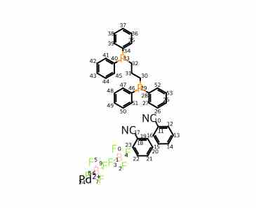 F[B-](F)(F)F.F[B-](F)(F)F.N#Cc1ccccc1.N#Cc1ccccc1.[Pd+2].c1ccc(P(CCCP(c2ccccc2)c2ccccc2)c2ccccc2)cc1